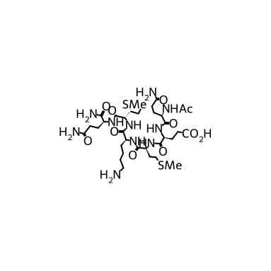 CSCC[C@H](NC(=O)[C@H](CCCCN)NC(=O)[C@H](CCSC)NC(=O)[C@H](CCC(=O)O)NC(=O)[C@H](CCC(N)=O)NC(C)=O)C(=O)N[C@@H](CCC(N)=O)C(N)=O